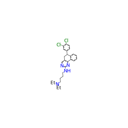 CCN(CC)CCCCNc1ncc2c(n1)-c1ccccc1C(c1ccc(Cl)c(Cl)c1)C2